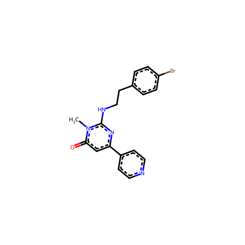 Cn1c(NCCc2ccc(Br)cc2)nc(-c2ccncc2)cc1=O